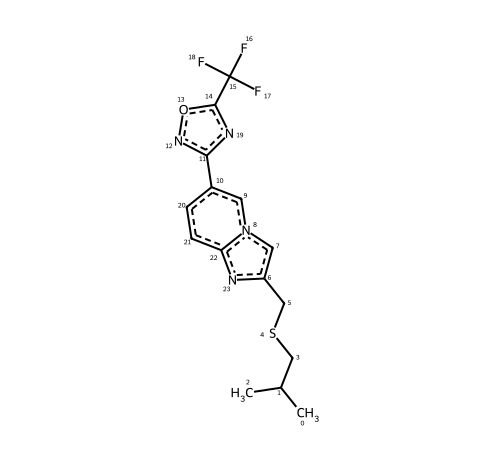 CC(C)CSCc1cn2cc(-c3noc(C(F)(F)F)n3)ccc2n1